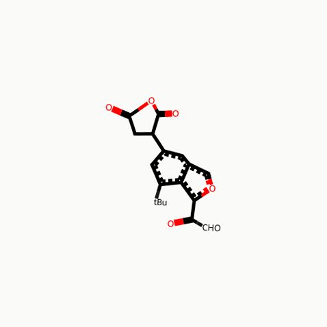 CC(C)(C)c1cc(C2CC(=O)OC2=O)cc2coc(C(=O)C=O)c12